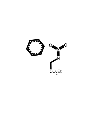 CCOC(=O)CN=S(=O)=O.c1ccccc1